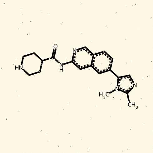 Cc1ncc(-c2ccc3cnc(NC(=O)C4CCNCC4)cc3c2)n1C